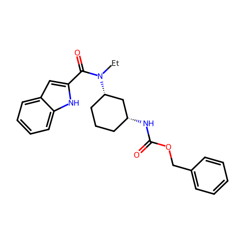 CCN(C(=O)c1cc2ccccc2[nH]1)[C@H]1CCC[C@@H](NC(=O)OCc2ccccc2)C1